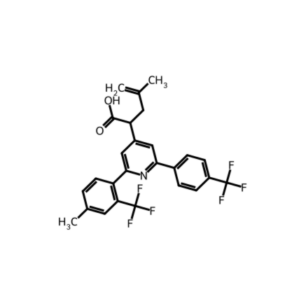 C=C(C)CC(C(=O)O)c1cc(-c2ccc(C(F)(F)F)cc2)nc(-c2ccc(C)cc2C(F)(F)F)c1